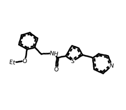 CCOc1ccccc1CNC(=O)c1ccc(-c2ccncc2)s1